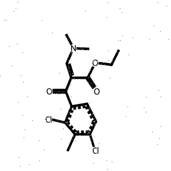 CCOC(=O)C(=CN(C)C)C(=O)c1ccc(Cl)c(C)c1Cl